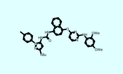 CCCCc1cc(NC(=O)Nc2ccc(Oc3ccnc(Nc4ccc(OC)cc4OC)n3)c3ccccc23)n(-c2ccc(C)cc2)n1